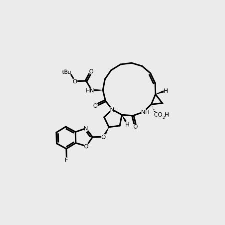 CC(C)(C)OC(=O)N[C@H]1CCCCC/C=C\[C@@H]2C[C@@]2(C(=O)O)NC(=O)[C@@H]2C[C@@H](Oc3nc4cccc(F)c4o3)CN2C1=O